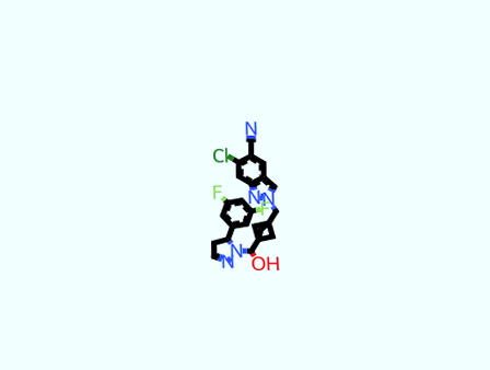 N#Cc1cc2cn(CC34CC(C(O)N5N=CCC5c5cc(F)cc(F)c5)(C3)C4)nc2cc1Cl